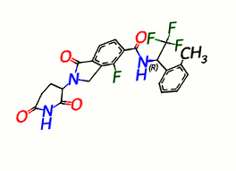 Cc1ccccc1[C@@H](NC(=O)c1ccc2c(c1F)CN(C1CCC(=O)NC1=O)C2=O)C(F)(F)F